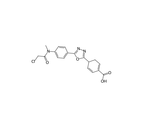 CN(C(=O)CCl)c1ccc(-c2nnc(C3C=CC(C(=O)O)=CC3)o2)cc1